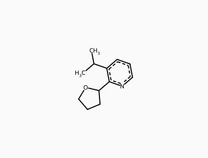 CC(C)c1cccnc1C1CCCO1